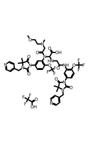 COCCN(C)CC(=O)N(c1cc(N2C(=O)N(Cc3ccncc3)C(C)(C)C2=O)ccc1OC(F)(F)F)C(NCC(=O)Nc1cc(N2C(=O)N(Cc3ccncc3)C(C)(C)C2=O)ccc1OC(F)(F)F)C(=O)O.O=C(O)C(F)(F)F